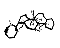 C[C@]12CCCCC1CC[C@@H]1[C@@H]2CC[C@]2(C)C(C3=CC=CC=CN3)CC[C@@H]12